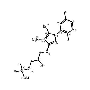 Cc1cnc(C)c(-n2nc(OCC(F)CO[Si](C)(C)C(C)(C)C)c([N+](=O)[O-])c2Br)c1